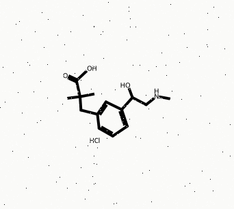 CNCC(O)c1cccc(CC(C)(C)C(=O)O)c1.Cl